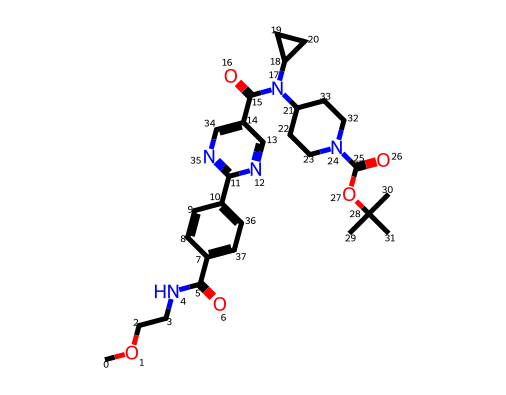 COCCNC(=O)c1ccc(-c2ncc(C(=O)N(C3CC3)C3CCN(C(=O)OC(C)(C)C)CC3)cn2)cc1